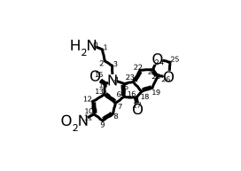 NCCCn1c2c(c3ccc([N+](=O)[O-])cc3c1=O)C(=O)c1cc3c(cc1-2)OCO3